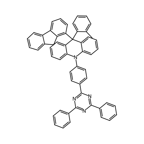 Cc1ccccc1C1(c2cccc3c2Cc2ccccc2-3)c2ccccc2N(c2ccc(-c3nc(-c4ccccc4)nc(-c4ccccc4)n3)cc2)c2ccccc21